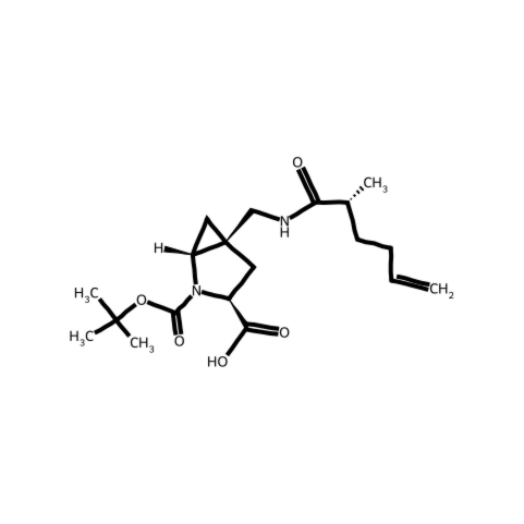 C=CCC[C@@H](C)C(=O)NC[C@@]12C[C@@H](C(=O)O)N(C(=O)OC(C)(C)C)[C@@H]1C2